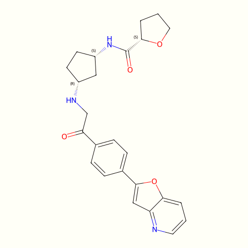 O=C(CN[C@@H]1CC[C@H](NC(=O)[C@@H]2CCCO2)C1)c1ccc(-c2cc3ncccc3o2)cc1